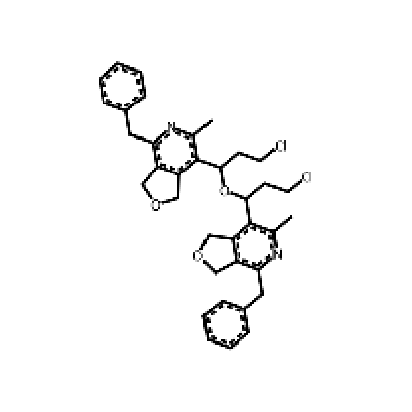 Cc1nc(Cc2ccccc2)c2c(c1C(CCCl)OC(CCCl)c1c(C)nc(Cc3ccccc3)c3c1COC3)COC2